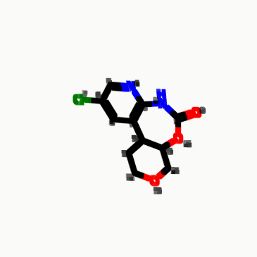 O=C1Nc2ncc(Cl)cc2C2CCOCC2O1